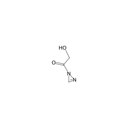 O=C(CO)N1C=N1